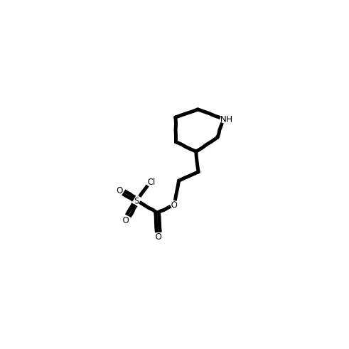 O=C(OCCC1CCCNC1)S(=O)(=O)Cl